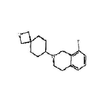 Fc1cccc2c1CN(C1CCC3(CC1)COC3)CC2